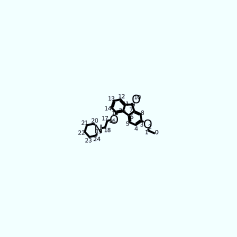 CCOc1ccc2c(c1)C(=O)c1cccc(OCCN3CCCCC3)c1-2